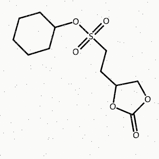 O=C1OCC(CCS(=O)(=O)OC2CCCCC2)O1